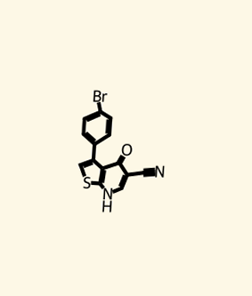 N#Cc1c[nH]c2scc(-c3ccc(Br)cc3)c2c1=O